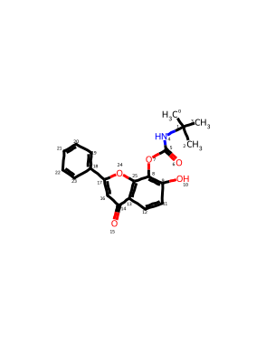 CC(C)(C)NC(=O)Oc1c(O)ccc2c(=O)cc(-c3ccccc3)oc12